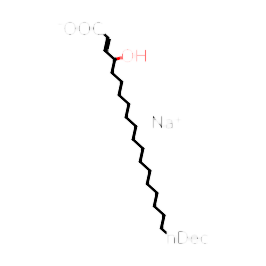 CCCCCCCCCCCCCCCCCCCCCCCCCC(O)C=CC(=O)[O-].[Na+]